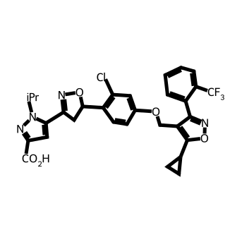 CC(C)n1nc(C(=O)O)cc1C1=NOC(c2ccc(OCc3c(-c4ccccc4C(F)(F)F)noc3C3CC3)cc2Cl)C1